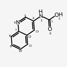 O=C(O)Nc1cnc2ccccc2c1